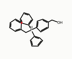 OCc1ccc([PH](Cc2ccccc2)(c2ccccc2)c2ccccc2)cc1